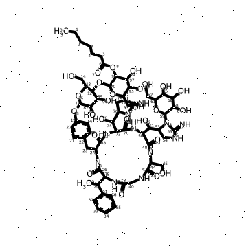 CCCCCCC(=O)OC1C(OC2C(CO)OC(Oc3ccc(CC4NC(=O)C(C(C)c5ccccc5)NC(=O)CNC(=O)C(CO)NC(=O)C(C(O)C5CNC(=N)N5C5OC(CO)C(O)C(O)C5O)NC(=O)C(C(O)C5CNC(=N)N5)NC4=O)cc3)C(O)C2O)OC(CO)C(O)C1O